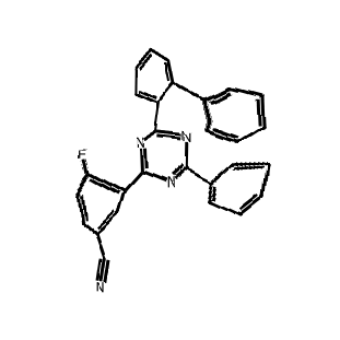 N#Cc1ccc(F)c(-c2nc(-c3ccccc3)nc(-c3ccccc3-c3ccccc3)n2)c1